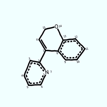 C1=C(c2ccccn2)c2ccccc2OC1